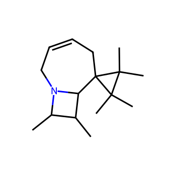 CC1C(C)N2CC=CCC3(C12)C(C)(C)C3(C)C